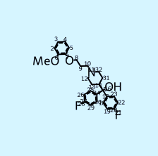 COc1ccccc1OCCCN1CCC(C(O)(c2ccc(F)cc2)c2ccc(F)cc2)CC1